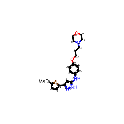 COc1ccc(-c2cc(Nc3ccc(OCCCN4CCOCC4)cc3)[nH]n2)s1